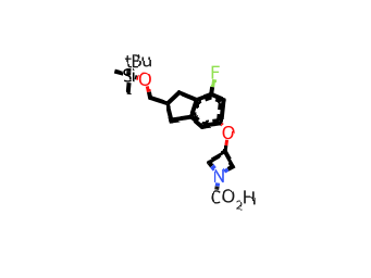 CC(C)(C)[Si](C)(C)OCC1Cc2cc(OC3CN(C(=O)O)C3)cc(F)c2C1